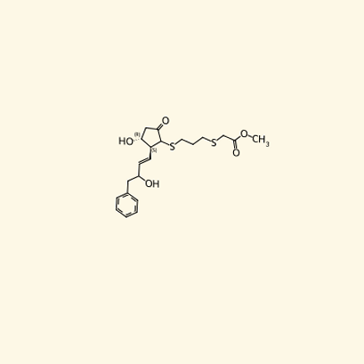 COC(=O)CSCCCSC1C(=O)C[C@@H](O)[C@@H]1C=CC(O)Cc1ccccc1